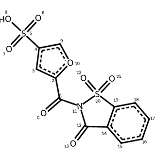 O=C(c1cc(S(=O)(=O)O)co1)N1C(=O)c2ccccc2S1(=O)=O